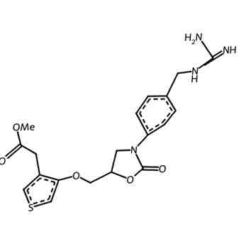 COC(=O)Cc1cscc1OCC1CN(c2ccc(CNC(=N)N)cc2)C(=O)O1